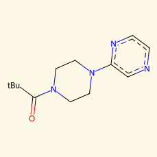 CC(C)(C)C(=O)N1CCN(c2cnccn2)CC1